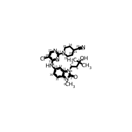 Cn1c(=O)n(CCC(C)(C)O)c2cc(Nc3nc(N4CCC(C#N)CC4)ncc3Cl)ccc21